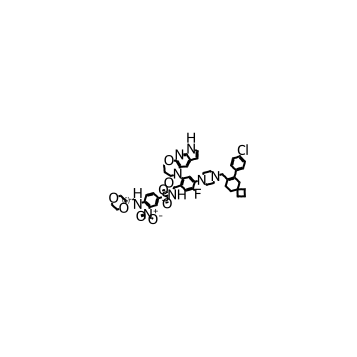 O=C(NS(=O)(=O)c1ccc(NC[C@H]2COCCO2)c([N+](=O)[O-])c1)c1cc(F)c(N2CCN(CC3=C(c4ccc(Cl)cc4)CC4(CCC4)CC3)CC2)cc1N1CCCOc2nc3[nH]ccc3cc21